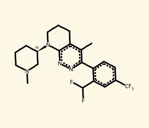 Cc1c(-c2ccc(C(F)(F)F)cc2C(F)F)nnc2c1CCCN2[C@@H]1CCCN(C)C1